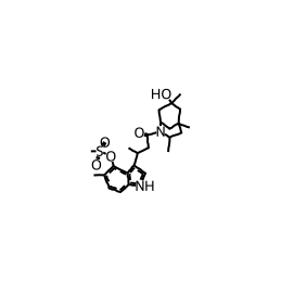 Cc1ccc2[nH]cc(C(C)CC(=O)N3C(C)CC4(C)CC3CC(C)(O)C4)c2c1OS(C)(=O)=O